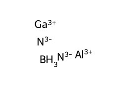 B.[Al+3].[Ga+3].[N-3].[N-3]